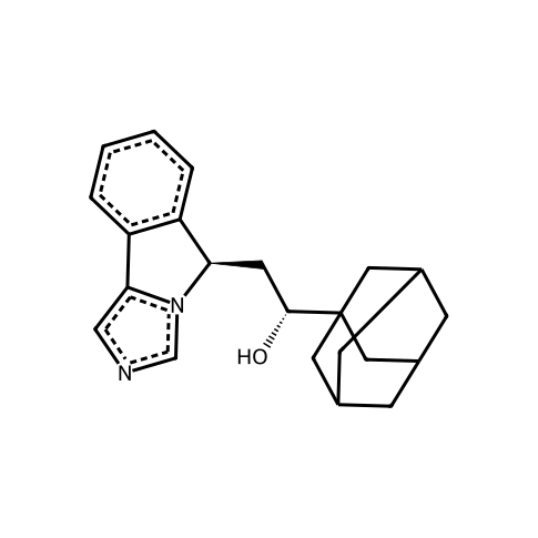 O[C@H](C[C@@H]1c2ccccc2-c2cncn21)C12CC3CC(CC(C3)C1)C2